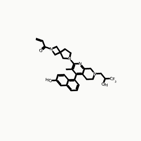 C=CC(=O)N1CC2(CCN(c3nc4c(c(-c5cccc6cc(O)ccc56)c3C)CCN(CC(O)C(F)(F)F)C4)C2)C1